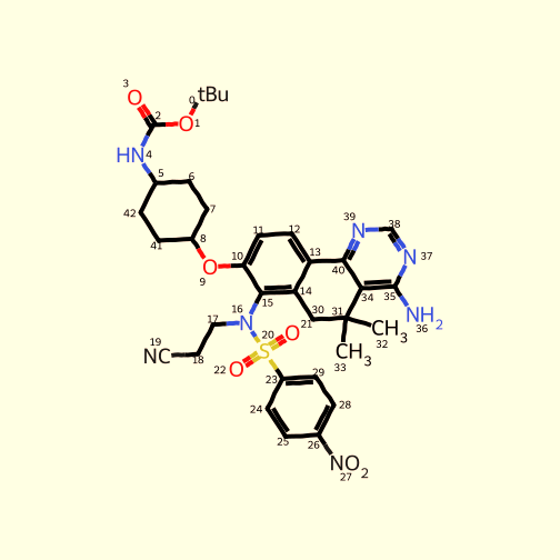 CC(C)(C)OC(=O)NC1CCC(Oc2ccc3c(c2N(CCC#N)S(=O)(=O)c2ccc([N+](=O)[O-])cc2)CC(C)(C)c2c(N)ncnc2-3)CC1